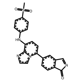 CS(=O)(=O)c1ccc(Nc2ccc(-c3ccc4c(c3)C=NC4=O)n3ccnc23)cc1